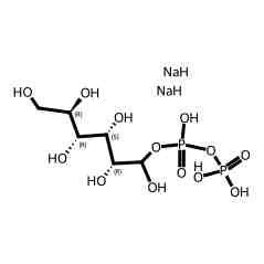 O=P(O)(O)OP(=O)(O)OC(O)[C@H](O)[C@@H](O)[C@H](O)[C@H](O)CO.[NaH].[NaH]